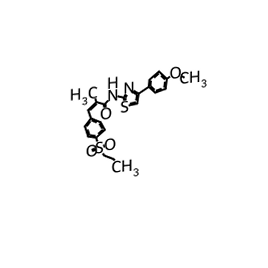 CCCS(=O)(=O)c1ccc(C=C(C)C(=O)Nc2nc(-c3ccc(OC)cc3)cs2)cc1